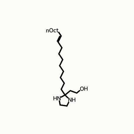 CCCCCCCCC=CCCCCCCCCC1(CCO)NCCN1